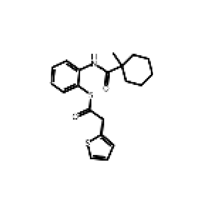 CC1(C(=O)Nc2ccccc2SC(=O)Cc2cccs2)CCCCC1